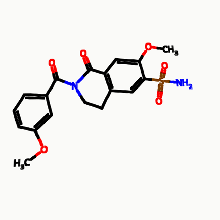 COc1cccc(C(=O)N2CCc3cc(S(N)(=O)=O)c(OC)cc3C2=O)c1